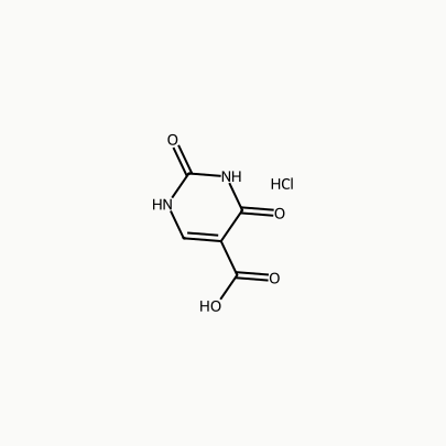 Cl.O=C(O)c1c[nH]c(=O)[nH]c1=O